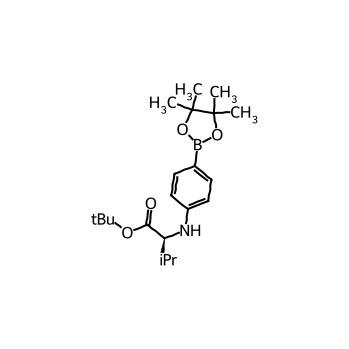 CC(C)[C@H](Nc1ccc(B2OC(C)(C)C(C)(C)O2)cc1)C(=O)OC(C)(C)C